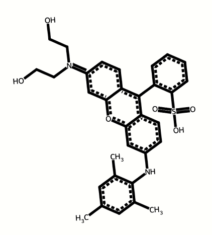 Cc1cc(C)c(Nc2ccc3c(-c4ccccc4S(=O)(=O)O)c4ccc(=[N+](CCO)CCO)cc-4oc3c2)c(C)c1